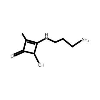 CC1=C(NCCCN)C(O)C1=O